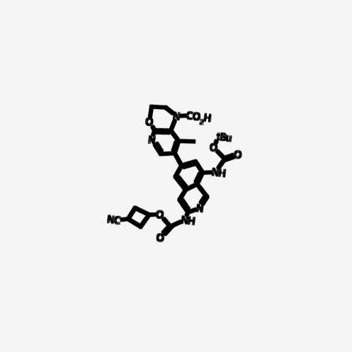 Cc1c(-c2cc(NC(=O)OC(C)(C)C)c3cnc(NC(=O)OC4CC(C#N)C4)cc3c2)cnc2c1N(C(=O)O)CCO2